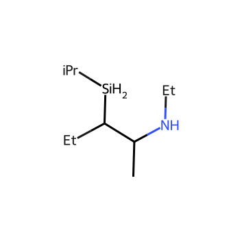 CCNC(C)C(CC)[SiH2]C(C)C